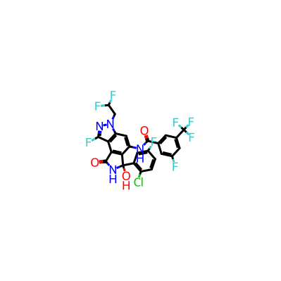 O=C(Nc1cc2c(c(F)nn2CC(F)F)c2c1C(O)(c1cc(F)ccc1Cl)NC2=O)c1cc(F)cc(C(F)(F)F)c1